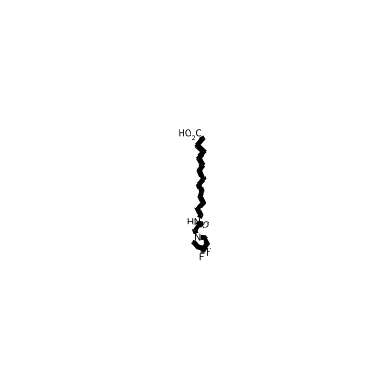 O=C(O)CCCCCCCCCCCCCNC(=O)CN1CCC(F)(F)CC1